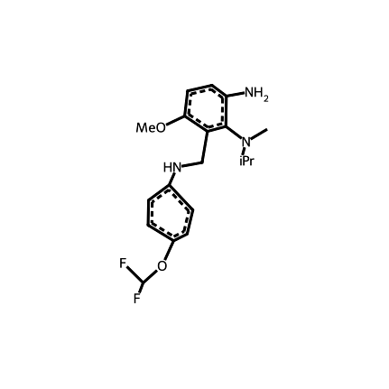 COc1ccc(N)c(N(C)C(C)C)c1CNc1ccc(OC(F)F)cc1